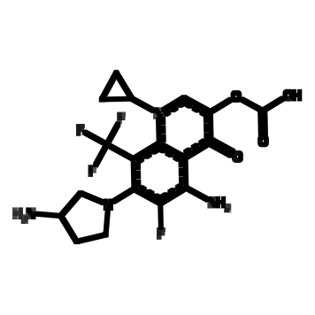 Nc1c(F)c(N2CCC(N)C2)c(C(F)(F)F)c2c1c(=O)c(OC(=O)O)cn2C1CC1